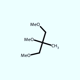 COCC(C)(COC)OC